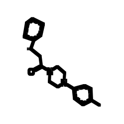 Cc1ccc(N2CCN(C(=O)C[CH]c3ccccc3)CC2)cc1